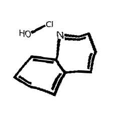 OCl.c1ccc2ncccc2c1